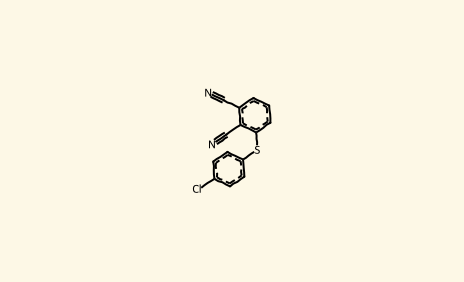 N#Cc1cccc(Sc2ccc(Cl)cc2)c1C#N